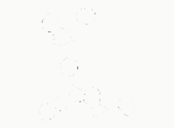 c1ccc(-c2nc(-c3ccc(-n4c5cc6ccccc6cc5c5c6ccn(-c7ccccc7)c6ccc54)cc3)nc3ccccc23)cc1